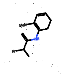 C=C(NC1=C(NC)C=CCC1)C(C)C(C)C